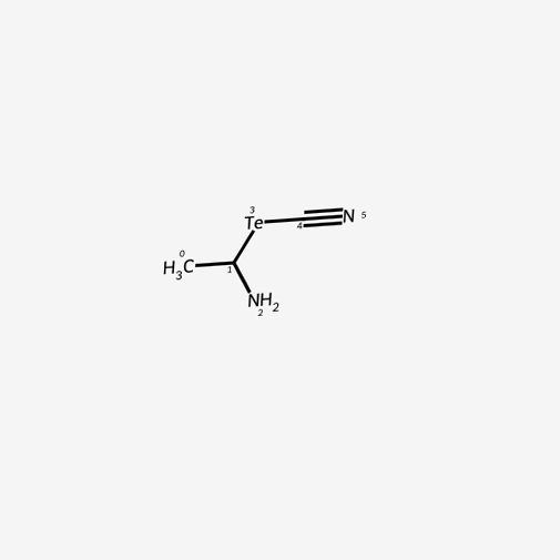 CC(N)[Te]C#N